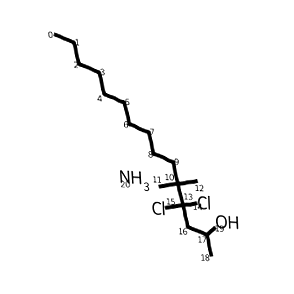 CCCCCCCCCCC(C)(C)C(Cl)(Cl)CC(C)O.N